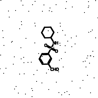 O=Cc1cccc(S(=O)(=O)NC2CCCCC2)c1